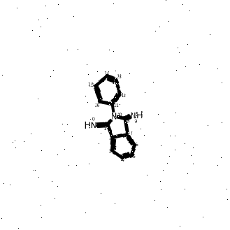 N=C1c2ccccc2C(=N)N1c1ccccc1